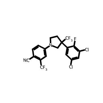 N#Cc1ccc(N2CCC(c3cc(Cl)cc(Cl)c3F)(C(F)(F)F)C2)cc1C(F)(F)F